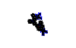 N#Cc1nc2c3ccccc3c3cc4c(cc3c2nc1C#N)c1cc(-c2cccc(-n3c5ccccc5c5ccc6c7nc(C#N)c(C#N)nc7c7ccccc7c6c53)c2)ccc1n4-c1ccccc1